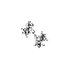 CCOP(=O)(OCC)c1nc(OCCOc2nc(P(=O)(OCC)OCC)nc(P(=O)(OCC)OCC)n2)nc(P(=O)(OCC)OCC)n1